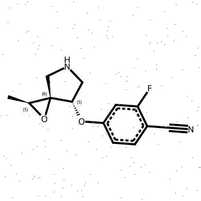 C[C@@H]1O[C@]12CNC[C@@H]2Oc1ccc(C#N)c(F)c1